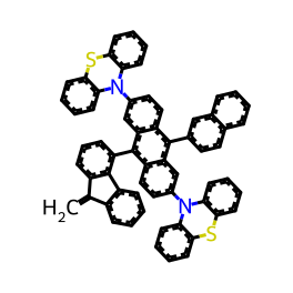 C=C1c2ccccc2-c2c1cccc2-c1c2ccc(N3c4ccccc4Sc4ccccc43)cc2c(-c2ccc3ccccc3c2)c2ccc(N3c4ccccc4Sc4ccccc43)cc12